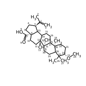 C=C(C)[C@@H]1CC[C@]2(C(=O)O)CC[C@]3(C)C(CCC4[C@@]5(C)CC[C@H](OC)C(C)(C)C5CC[C@]43C)C12